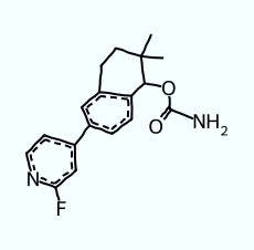 CC1(C)CCc2cc(-c3ccnc(F)c3)ccc2C1OC(N)=O